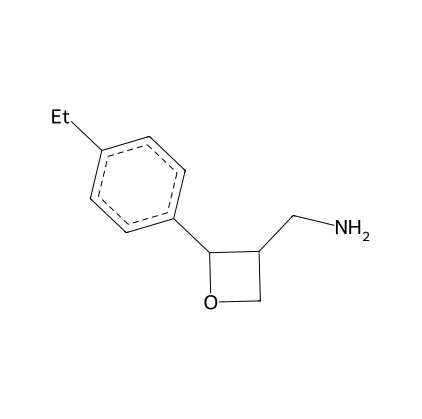 CCc1ccc(C2OCC2CN)cc1